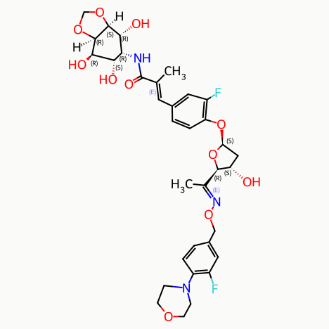 C/C(=C\c1ccc(O[C@H]2C[C@H](O)[C@@H](/C(C)=N/OCc3ccc(N4CCOCC4)c(F)c3)O2)c(F)c1)C(=O)N[C@@H]1[C@H](O)[C@@H](O)[C@H]2OCO[C@H]2[C@@H]1O